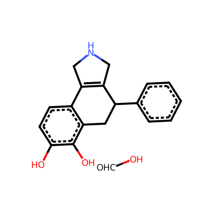 O=CO.Oc1ccc2c(c1O)CC(c1ccccc1)C1=C2CNC1